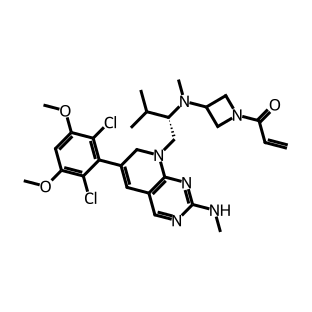 C=CC(=O)N1CC(N(C)[C@H](CN2CC(c3c(Cl)c(OC)cc(OC)c3Cl)=Cc3cnc(NC)nc32)C(C)C)C1